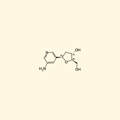 Nc1cncc([C@H]2C[C@H](O)[C@@H](CO)O2)c1